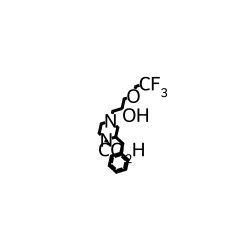 O=C(O)N1CCN(CC(O)COCC(F)(F)F)CC1Cc1ccccc1